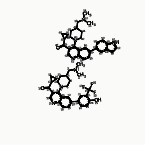 CN(C)CC1CCN(c2c(C(=O)C3CC3)cnc3ccc(-c4ccc(O)c(C(F)(F)F)c4)cc23)CC1.CN(C)CC1CCN(c2c(C(=O)C3CC3)cnc3ccc(-c4ccc5[nH]ccc5c4)cc23)CC1